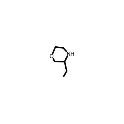 CCC1[CH]OCCN1